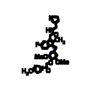 COc1cc(/C=C2/C(C)=C(CC(=O)NCc3cccnc3)c3cc(F)ccc32)cc(OC)c1OCC(=O)N1CCN(C)CC1